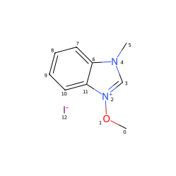 CO[n+]1cn(C)c2ccccc21.[I-]